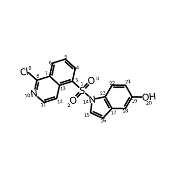 O=S(=O)(c1cccc2c(Cl)nccc12)n1ccc2cc(O)ccc21